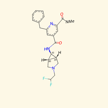 CNC(=O)c1cc(C(=O)N[C@H]2[C@@H]3CN(CC(F)F)C[C@@H]32)cc(Cc2ccccc2)n1